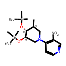 C[C@H]1CN(c2ccncc2[N+](=O)[O-])C[C@@H](O[Si](C)(C)C(C)(C)C)[C@@H]1O[Si](C)(C)C(C)(C)C